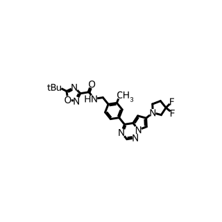 Cc1cc(-c2ncnn3cc(N4CCC(F)(F)C4)cc23)ccc1CNC(=O)c1noc(C(C)(C)C)n1